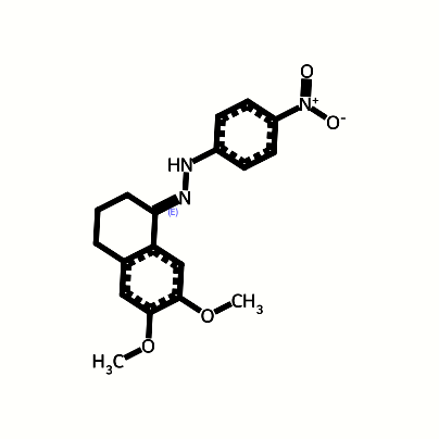 COc1cc2c(cc1OC)/C(=N/Nc1ccc([N+](=O)[O-])cc1)CCC2